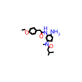 CCOc1ccc(CC(=O)Nc2cc(N(C)C(=O)CC(C)C)ccc2N)cc1